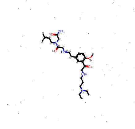 CCN(CC)CCCNCC(=O)c1cc(CCNCC(=O)N(CCC(C)C)CC(N)=O)ccc1OC